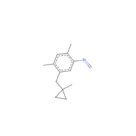 C=Nc1cc(CC2(C)CC2)c(C)cc1C